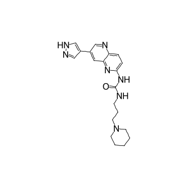 O=C(NCCCN1CCCCC1)Nc1ccc2ncc(-c3cn[nH]c3)cc2n1